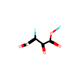 O=C=C(F)C(=O)C(=O)OF